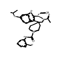 CC(=O)N1CC2(CCN(C(=O)Nc3ccccc3F)CC2)c2c([nH]c3cc(OC(C)C)ccc23)[C@@H]1CO